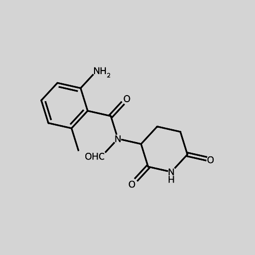 Cc1cccc(N)c1C(=O)N(C=O)C1CCC(=O)NC1=O